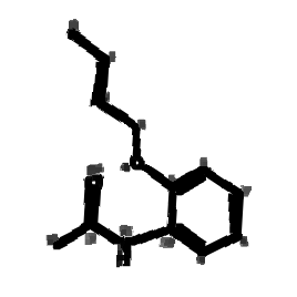 CC=CCOc1ccccc1NC(C)=O